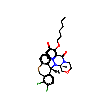 B[C@]1(N2[C@@H]3COCCN3C(=O)c3c(OCCCCCC)c(=O)ccn32)c2ccccc2SCc2c1ccc(F)c2F